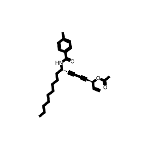 C=C[C@@H](C#CC#C[C@H](CCCCCCCCC)NC(=O)c1ccc(C)cc1)OC(C)=O